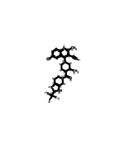 Cc1nc2ccc(Cl)cc2c(N2CCC(C(=O)N3CCC4=C(C3)NC(C(F)(F)F)S4)C(C)C2)c1C#N